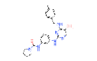 Bc1cnc(Nc2cccc(NC(=O)N3CCCC3)c2)nc1NCc1ccc(C)cc1